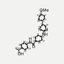 COc1ccc(-c2cnc(Nc3ccc(C(=O)Nc4ccc(C(C)O)cc4)cc3)nc2)cc1